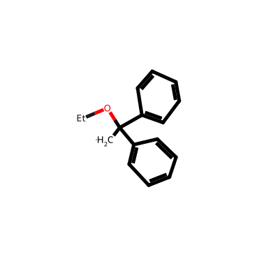 [CH2]C(OCC)(c1ccccc1)c1ccccc1